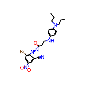 CCCN(CCC)c1ccc(NCCC(=O)N=Nc2c(Br)cc([N+](=O)[O-])cc2C#N)cc1